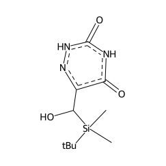 CC(C)(C)[Si](C)(C)C(O)c1n[nH]c(=O)[nH]c1=O